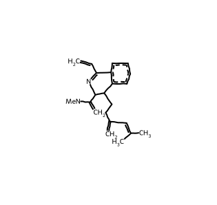 C=CC1=NC(C(=C)NC)C(CCC(=C)C=C(C)C)c2ccccc21